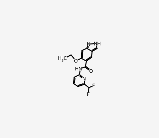 CCOc1cc2n[nH]cc2cc1C(=O)Nc1cccc(C(F)F)n1